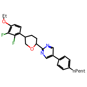 CCCCCc1ccc(-c2cnc(C3CCC(c4ccc(OCC)c(F)c4F)CO3)nc2)cc1